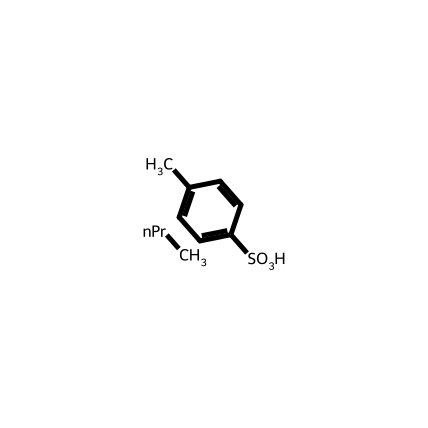 CCCC.Cc1ccc(S(=O)(=O)O)cc1